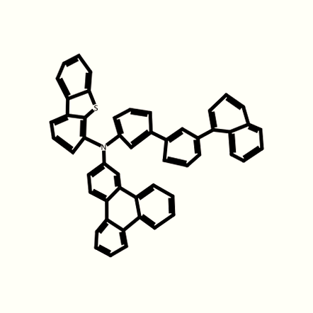 c1cc(-c2cccc(N(c3ccc4c5ccccc5c5ccccc5c4c3)c3cccc4c3sc3ccccc34)c2)cc(-c2cccc3ccccc23)c1